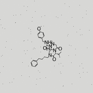 COc1ccc(CNC(=O)N2[C@H]3CN(CCCCc4ccccc4)C(=O)[C@H](C(C)C)N3C(=O)CN2C)cc1